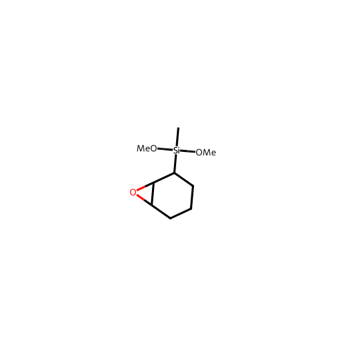 CO[Si](C)(OC)C1CCCC2OC21